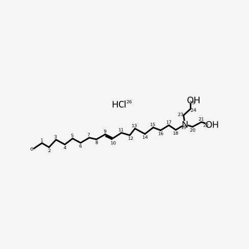 CCCCCCCCCC=CCCCCCCCCN(CCO)CCO.Cl